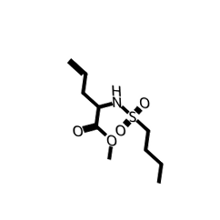 C=CCC(NS(=O)(=O)CCCC)C(=O)OC